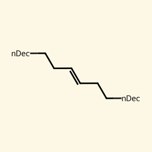 [CH2]CCCCCCCCCCC/C=C/CCCCCCCCCCC[CH2]